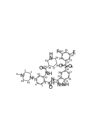 CN1CCN(c2ccc(C(=O)Nc3n[nH]c4ccc(S(=O)(=O)c5cc(F)cc(F)c5)cc34)c(NC(=O)C3CCCNC3)c2)CC1